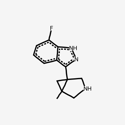 CC12CNCC1(c1n[nH]c3c(F)cccc13)C2